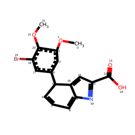 COc1cc(C2C=CC=C3N=C(C(=O)O)C=C32)cc(Br)c1OC